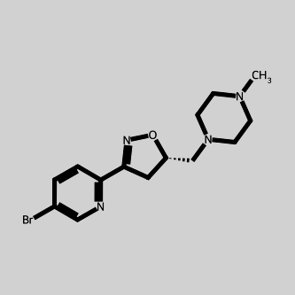 CN1CCN(C[C@@H]2CC(c3ccc(Br)cn3)=NO2)CC1